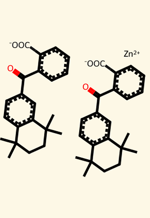 CC1(C)CCC(C)(C)c2cc(C(=O)c3ccccc3C(=O)[O-])ccc21.CC1(C)CCC(C)(C)c2cc(C(=O)c3ccccc3C(=O)[O-])ccc21.[Zn+2]